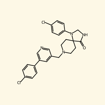 O=C1NCN(c2ccc(Cl)cc2)C12CCN(Cc1cncc(-c3ccc(Cl)cc3)c1)CC2